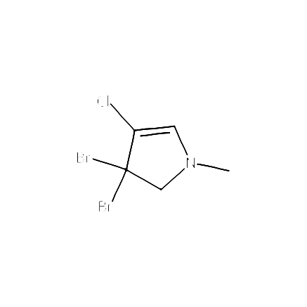 CN1C=C(Cl)C(Br)(Br)C1